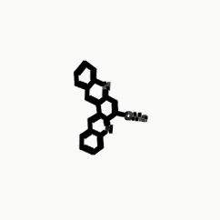 COc1cc2nc3ccccc3cc2c2cc3ccccc3nc12